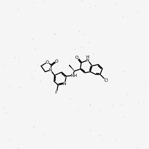 C[C@H](Nc1cc(N2CCOC2=O)cc(F)n1)c1cc2cc(Cl)ccc2[nH]c1=O